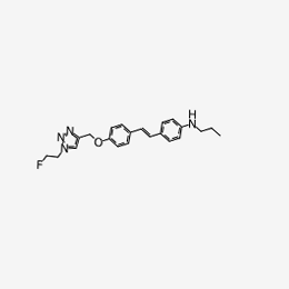 CCCNc1ccc(/C=C/c2ccc(OCc3cn(CCF)nn3)cc2)cc1